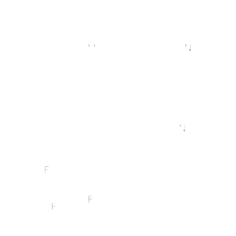 CC(=O)C1C(c2ccc(C(F)(F)F)cc2)C1(C#N)C#N